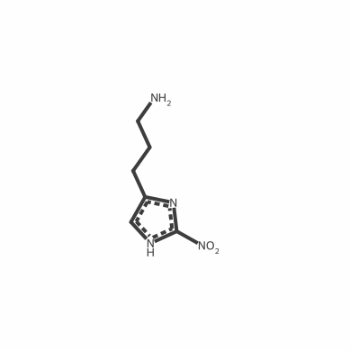 NCCCc1c[nH]c([N+](=O)[O-])n1